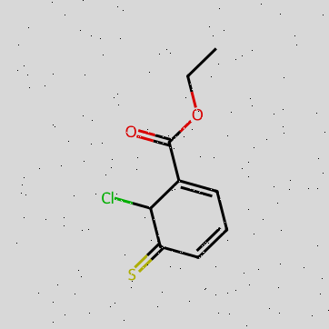 CCOC(=O)C1=CC=CC(=S)C1Cl